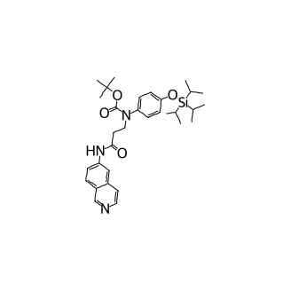 CC(C)[Si](Oc1ccc(N(CCC(=O)Nc2ccc3cnccc3c2)C(=O)OC(C)(C)C)cc1)(C(C)C)C(C)C